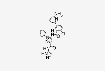 Nc1cccc(-c2ccc(Cl)c(C(=O)Nc3cc(C(=O)Nc4ccn[nH]4)nn3-c3ccccc3)c2)n1